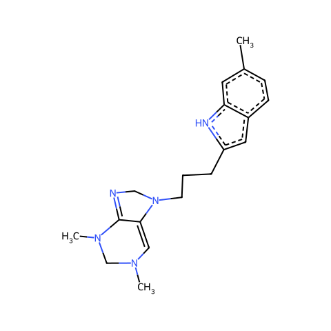 Cc1ccc2cc(CCCN3CN=C4C3=CN(C)CN4C)[nH]c2c1